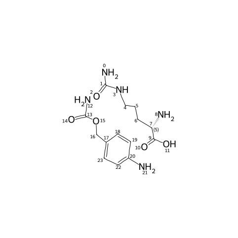 NC(=O)NCCC[C@H](N)C(=O)O.NC(=O)OCc1ccc(N)cc1